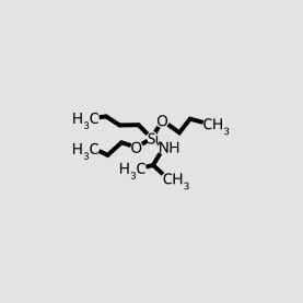 CCCC[Si](NC(C)C)(OCCC)OCCC